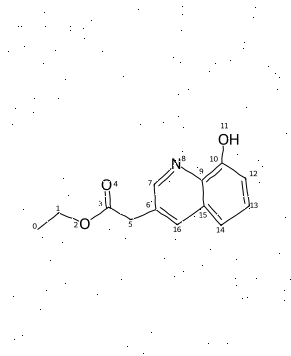 CCOC(=O)Cc1cnc2c(O)cccc2c1